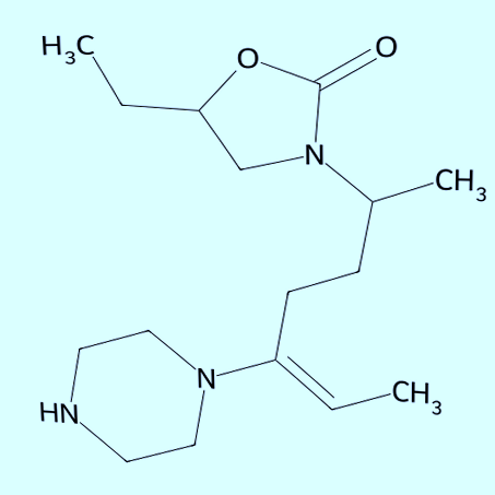 C/C=C(\CCC(C)N1CC(CC)OC1=O)N1CCNCC1